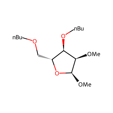 CCCCOC[C@H]1O[C@H](OC)[C@H](OC)[C@@H]1OCCCC